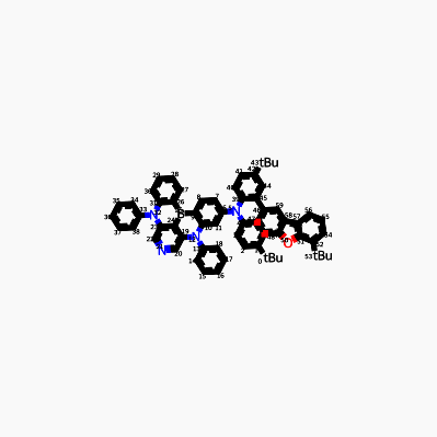 CC(C)(C)c1ccc(N(c2ccc3c(c2)N(c2ccccc2)c2cncc4c2B3c2ccccc2N4c2ccccc2)c2ccc(C(C)(C)C)cc2-c2ccc3oc4c(C(C)(C)C)cccc4c3c2)cc1